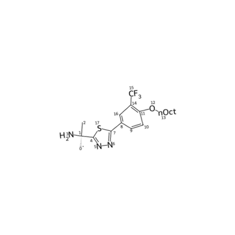 [CH2][C@@](C)(N)c1nnc(-c2ccc(OCCCCCCCC)c(C(F)(F)F)c2)s1